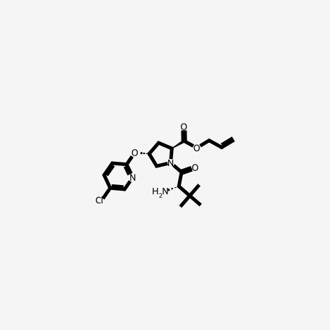 C=CCOC(=O)[C@@H]1C[C@@H](Oc2ccc(Cl)cn2)CN1C(=O)[C@@H](N)C(C)(C)C